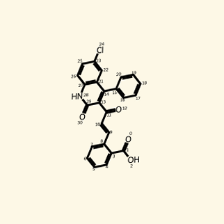 O=C(O)c1ccccc1C=CC(=O)c1c(-c2ccccc2)c2cc(Cl)ccc2[nH]c1=O